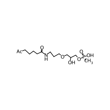 CC(=O)CCCCC(=O)NCCCOCC(O)COP(C)(=O)O